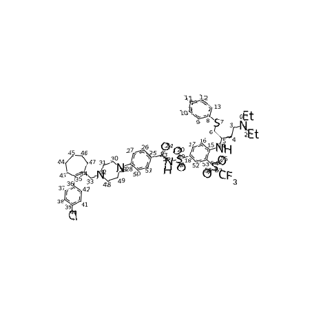 CCN(CC)CC[C@H](CSc1ccccc1)Nc1ccc(S(=O)(=O)NC(=O)c2ccc(N3CCN(CC4=C(c5ccc(Cl)cc5)CCCCC4)CC3)cc2)cc1S(=O)(=O)C(F)(F)F